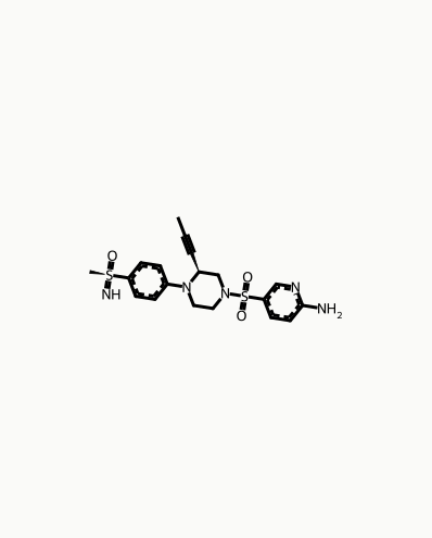 CC#C[C@H]1CN(S(=O)(=O)c2ccc(N)nc2)CCN1c1ccc([S@](C)(=N)=O)cc1